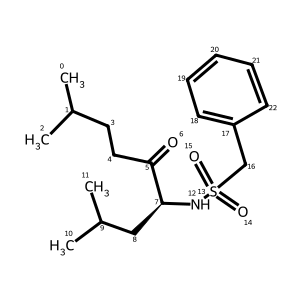 CC(C)CCC(=O)[C@H](CC(C)C)NS(=O)(=O)Cc1ccccc1